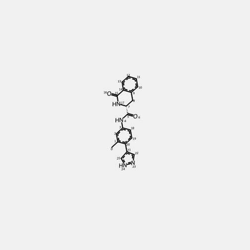 Cc1cc(NC(=O)[C@H]2Cc3ccccc3C(=O)N2)ccc1-c1cn[nH]c1